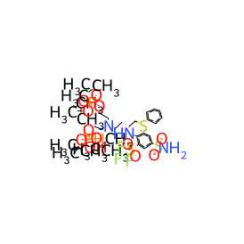 CC(C)(C)OP(=O)(OCCN(CCO[PH](O)(OC(C)(C)C)OC(C)(C)C)CC[C@H](CSc1ccccc1)Nc1ccc(S(N)(=O)=O)cc1S(=O)(=O)C(F)(F)F)OC(C)(C)C